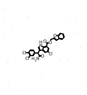 NC(=O)C(c1ccc(Cl)c(Cl)c1)c1c[nH]c2c(C(=O)OCc3cc4ccccc4o3)cc(Cl)cc12